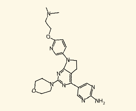 CN(C)CCOc1ccc(N2CCc3c(-c4cnc(N)nc4)nc(N4CCOCC4)nc32)cn1